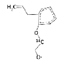 C=CCc1ccccc1O[14CH2]C[O]